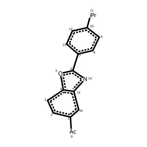 CC(=O)c1ccc2oc(-c3ccc(C(C)C)cc3)nc2c1